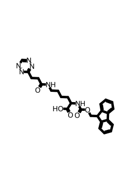 O=C(CCc1nncnn1)NCCCCC(NC(=O)OCC1c2ccccc2-c2ccccc21)C(=O)O